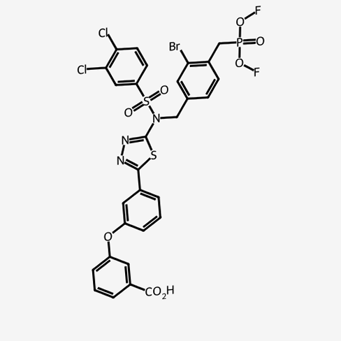 O=C(O)c1cccc(Oc2cccc(-c3nnc(N(Cc4ccc(CP(=O)(OF)OF)c(Br)c4)S(=O)(=O)c4ccc(Cl)c(Cl)c4)s3)c2)c1